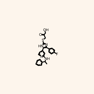 CC(Nc1cc(-c2[nH]c(SCC(=O)CO)nc2-c2ccc(F)cc2)ccn1)c1ccccc1